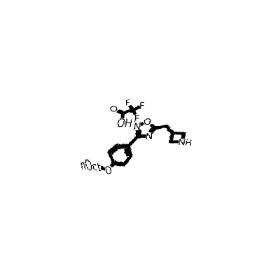 CCCCCCCCOc1ccc(-c2noc(CC3CNC3)n2)cc1.O=C(O)C(F)(F)F